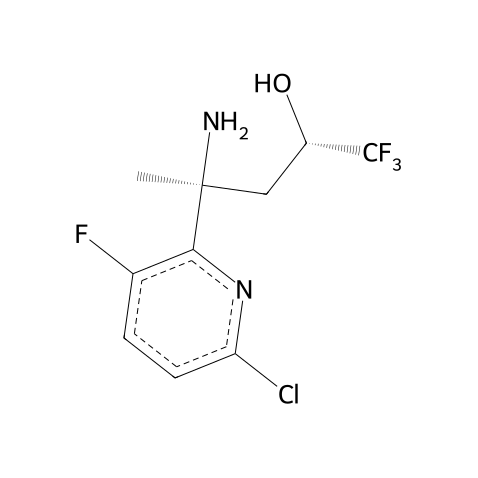 C[C@](N)(C[C@H](O)C(F)(F)F)c1nc(Cl)ccc1F